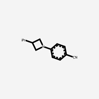 CC(C)C1CN(c2ccc(C#N)cc2)C1